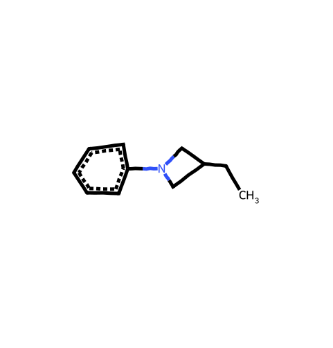 CCC1CN(c2ccccc2)C1